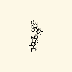 COc1ncc(-c2cc(N3CC(Oc4ccc(F)c(C(F)F)c4)C(F)(F)C3)nc(C)n2)c(OC)n1